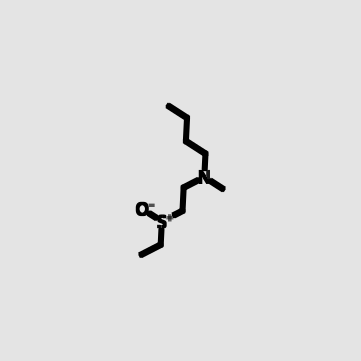 CCCCN(C)CC[S+]([O-])CC